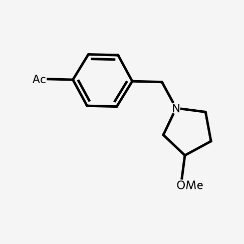 COC1CCN(Cc2ccc(C(C)=O)cc2)C1